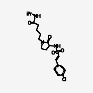 CC(C)NC(=O)CCCCN1CCC(NS(=O)(=O)C=Cc2ccc(Cl)cc2)C1=O